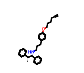 C#CCCCCOc1ccc(CCCN[C@H](c2ccccc2)[C@H](C)c2ccccc2)cc1